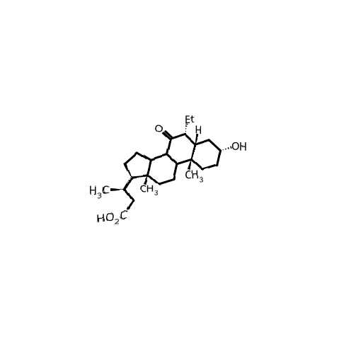 CC[C@H]1C(=O)C2C3CC[C@H]([C@H](C)CC(=O)O)[C@@]3(C)CCC2[C@@]2(C)CC[C@@H](O)C[C@@H]12